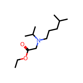 CCOC(=O)CN(CCCC(C)C)C(C)C